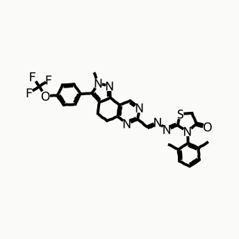 Cc1cccc(C)c1N1C(=O)CS/C1=N\N=C\c1ncc2c(n1)CCc1c-2nn(C)c1-c1ccc(OC(F)(F)F)cc1